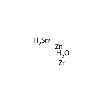 O.[SnH2].[Zn].[Zr]